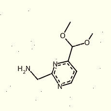 COC(OC)c1ccnc(CN)n1